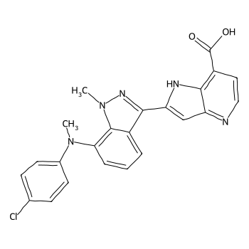 CN(c1ccc(Cl)cc1)c1cccc2c(-c3cc4nccc(C(=O)O)c4[nH]3)nn(C)c12